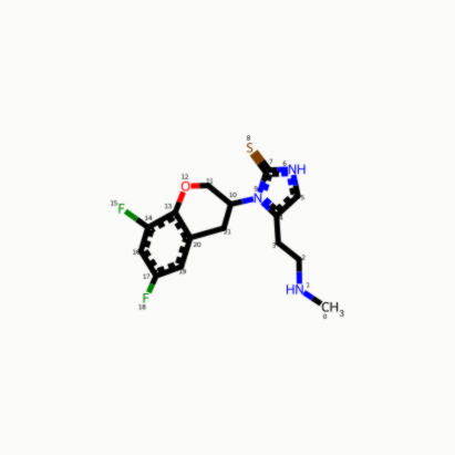 CNCCc1c[nH]c(=S)n1C1COc2c(F)cc(F)cc2C1